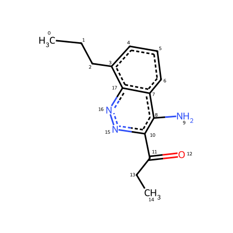 CCCc1cccc2c(N)c(C(=O)CC)nnc12